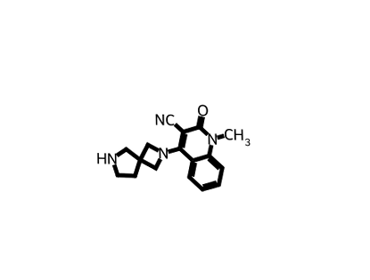 Cn1c(=O)c(C#N)c(N2CC3(CCNC3)C2)c2ccccc21